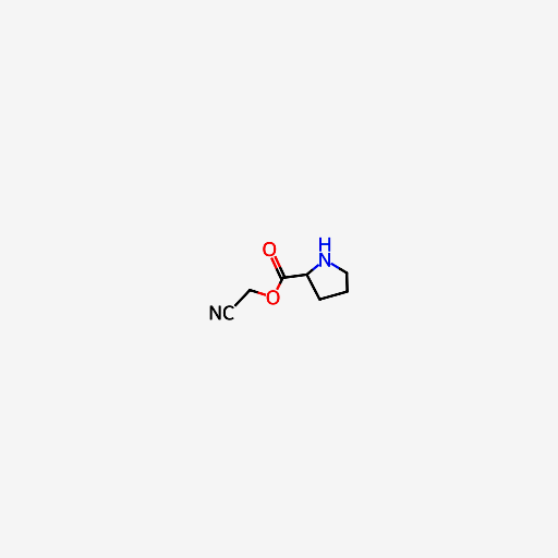 N#CCOC(=O)C1CCCN1